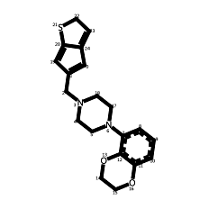 C1=C(CN2CCN(c3cccc4c3OCCO4)CC2)C=C2SCC=C12